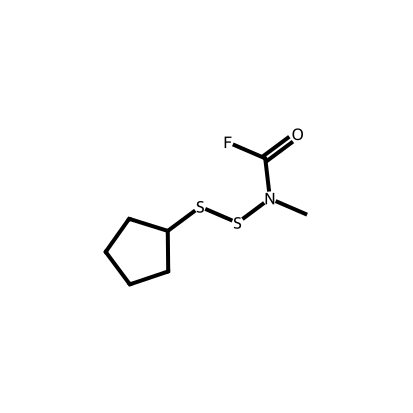 CN(SSC1CCCC1)C(=O)F